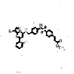 COC(=O)CCC1=CCC(S(=O)(=O)Nc2ccc(CNc3cc(-c4ccccc4Cl)nc4c(Br)cnn34)cc2)C=C1